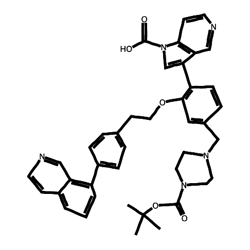 CC(C)(C)OC(=O)N1CCN(Cc2ccc(-c3cn(C(=O)O)c4ccncc34)c(OCCc3ccc(-c4cccc5ccncc45)cc3)c2)CC1